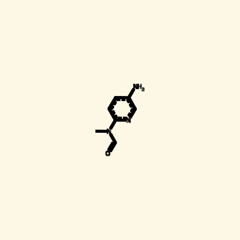 CN(C=O)c1ccc(N)cn1